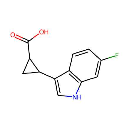 O=C(O)C1CC1c1c[nH]c2cc(F)ccc12